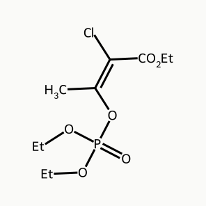 CCOC(=O)/C(Cl)=C(/C)OP(=O)(OCC)OCC